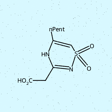 CCCCCC1=CS(=O)(=O)N=C(CC(=O)O)N1